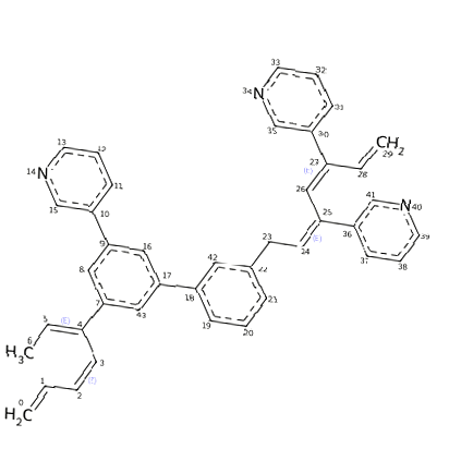 C=C/C=C\C(=C/C)c1cc(-c2cccnc2)cc(-c2cccc(C/C=C(\C=C(/C=C)c3cccnc3)c3cccnc3)c2)c1